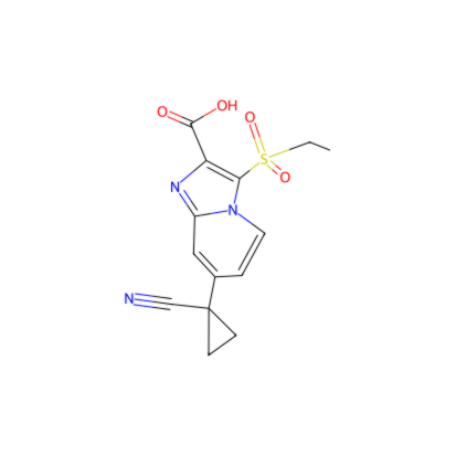 CCS(=O)(=O)c1c(C(=O)O)nc2cc(C3(C#N)CC3)ccn12